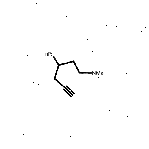 C#CCC(CCC)CCNC